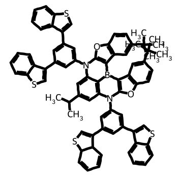 CC(C)c1cc2c3c(c1)N(c1cc(-c4csc5ccccc45)cc(-c4csc5ccccc45)c1)c1oc4ccc(C(C)(C)C)cc4c1B3c1c(oc3ccc(C(C)(C)C)cc13)N2c1cc(C2=CSC3C=CC=CC23)cc(-c2csc3ccccc23)c1